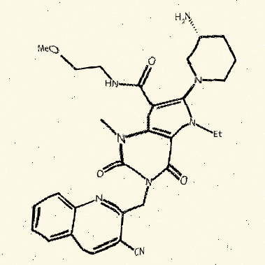 CCn1c(N2CCC[C@@H](N)C2)c(C(=O)NCCOC)c2c1c(=O)n(Cc1nc3ccccc3cc1C#N)c(=O)n2C